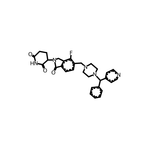 O=C1CCC(N2Cc3c(ccc(CN4CCN(C(c5ccccc5)c5ccncc5)CC4)c3F)C2=O)C(=O)N1